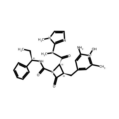 CC[C@@H](NC(=O)N1C(=O)[C@H](Cc2cc(C)[n+](O)c(N)c2)[C@H]1C(=O)N(C)c1nccn1C)c1ccccc1